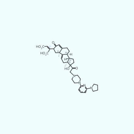 C[C@]12CC(/C(=C/C(=O)O)C(=O)O)C(=O)C=C1CC[C@@H]1C2=CC[C@@]2(C)[C@H]1CC[C@]2(O)C(=O)CN1CCN(c2cccc(N3CCCC3)n2)CC1